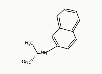 C[C@@H]([C]=O)Nc1ccc2ccccc2c1